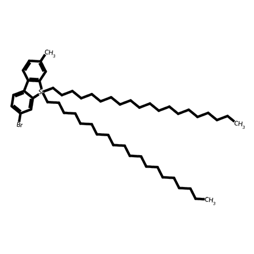 CCCCCCCCCCCCCCCCCCCC[Si]1(CCCCCCCCCCCCCCCCCCCC)c2cc(C)ccc2-c2ccc(Br)cc21